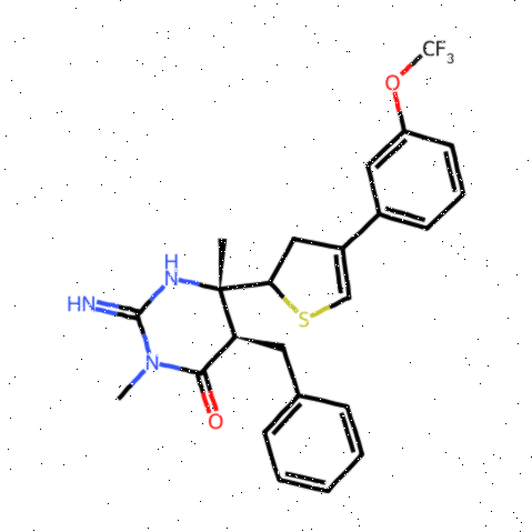 CN1C(=N)N[C@](C)(C2CC(c3cccc(OC(F)(F)F)c3)=CS2)[C@@H](Cc2ccccc2)C1=O